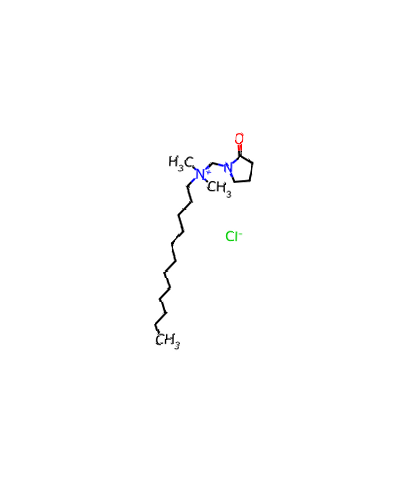 CCCCCCCCCCCC[N+](C)(C)CN1CCCC1=O.[Cl-]